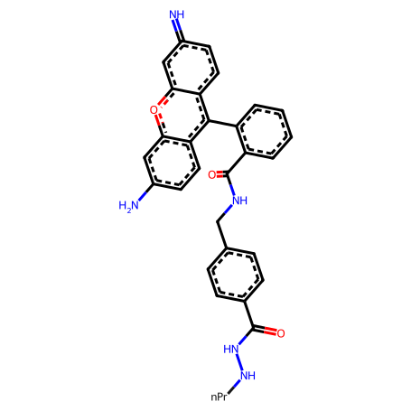 CCCNNC(=O)c1ccc(CNC(=O)c2ccccc2-c2c3ccc(=N)cc-3oc3cc(N)ccc23)cc1